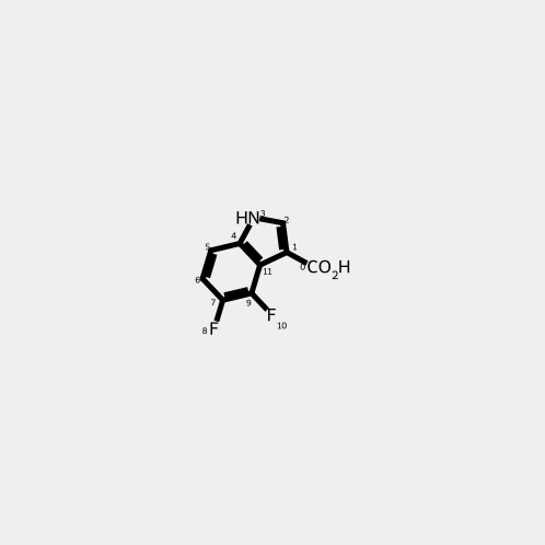 O=C(O)c1c[nH]c2ccc(F)c(F)c12